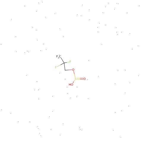 O=S(O)OCC(F)(F)C(F)(F)F